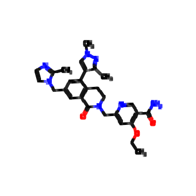 CCOc1cc(CN2CCc3c(cc(Cn4ccnc4C)cc3-c3cn(C)nc3C)C2=O)ncc1C(N)=O